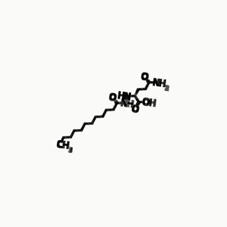 CCCCCCCCCCCC(=O)NN[C@@H](CCC(N)=O)C(=O)O